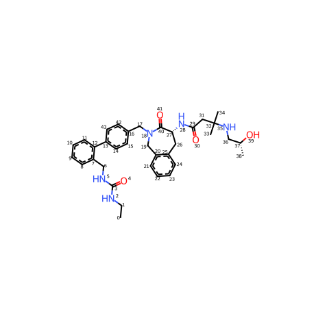 CCNC(=O)NCc1ccccc1-c1ccc(CN2Cc3ccccc3C[C@@H](NC(=O)CC(C)(C)NC[C@@H](C)O)C2=O)cc1